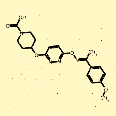 COc1ccc(C(C)=NOc2ccc(OC3CCN(C(=O)O)CC3)nn2)cc1